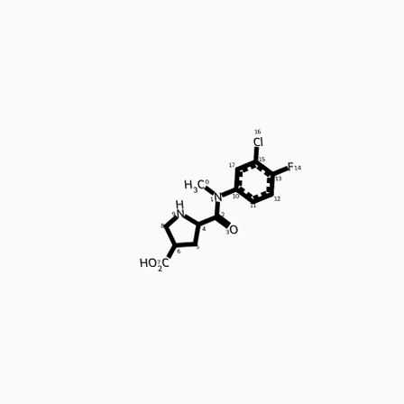 CN(C(=O)C1CC(C(=O)O)CN1)c1ccc(F)c(Cl)c1